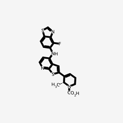 C[C@@H]1C(c2cc3c(Nc4ccc5scnc5c4F)ccnc3s2)=CCCN1C(=O)O